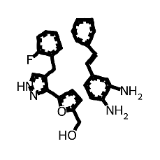 Nc1ccc(C=Cc2ccccc2)cc1N.OCc1ccc(-c2n[nH]cc2Cc2ccccc2F)o1